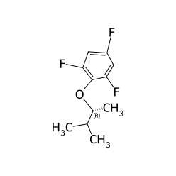 CC(C)[C@@H](C)Oc1c(F)cc(F)cc1F